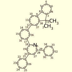 CC1(C)c2ccccc2-c2ccc(-c3cccc(-c4cc(-c5ccccc5)cc(-c5ccccc5)n4)c3)cc21